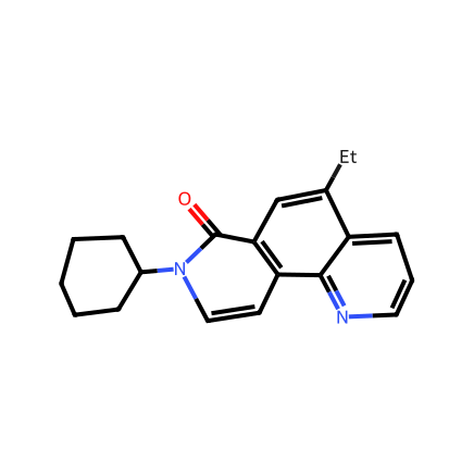 CCc1cc2c(=O)n(C3CCCCC3)ccc2c2ncccc12